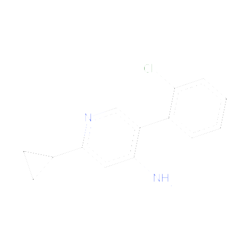 Nc1cc(C2CC2)ncc1-c1ccccc1Cl